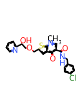 Cn1cc(C(=O)NCc2ccc(Cl)cc2)c(=O)c2cc(COCC(O)c3ccccn3)sc21